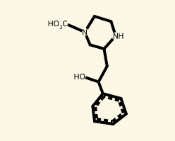 O=C(O)N1CCNC(CC(O)c2ccccc2)C1